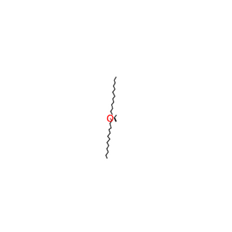 C=CC.CCCCCCCCCCCCCOCCCCCCCCCCCCC